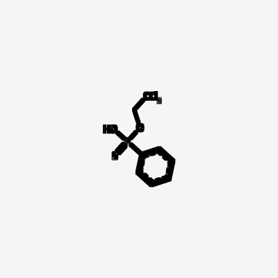 OP(=S)(OCC(Cl)(Cl)Cl)c1ccccc1